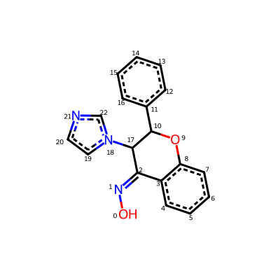 ON=C1c2ccccc2OC(c2ccccc2)C1n1ccnc1